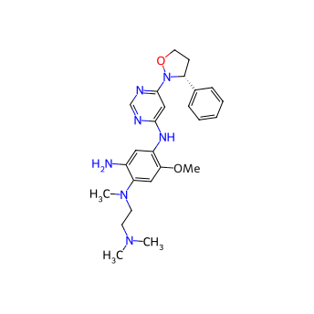 COc1cc(N(C)CCN(C)C)c(N)cc1Nc1cc(N2OCC[C@@H]2c2ccccc2)ncn1